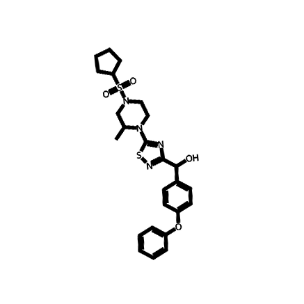 CC1CN(S(=O)(=O)C2CCCC2)CCN1c1nc(C(O)c2ccc(Oc3ccccc3)cc2)ns1